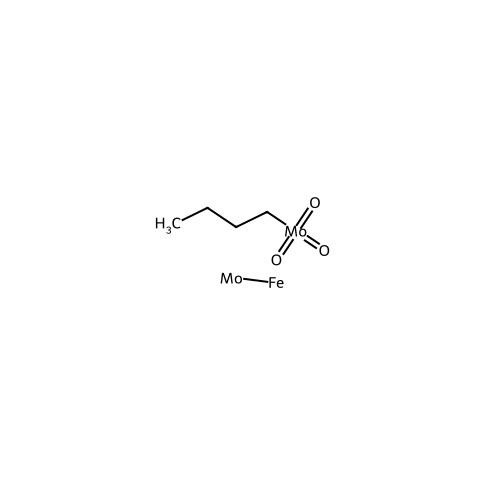 CCC[CH2][Mo](=[O])(=[O])=[O].[Fe][Mo]